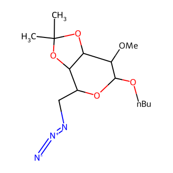 CCCCOC1OC(CN=[N+]=[N-])C2OC(C)(C)OC2C1OC